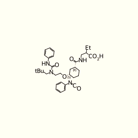 CCC(CNC(=O)[C@@H]1CCC[C@H](OCCN(CC(C)(C)C)C(=O)Nc2ccccc2)C1)C(=O)O.O=C=Nc1ccccc1